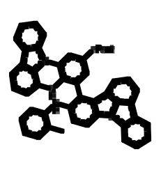 CCCCCc1cc(-c2c(Nc3ccccc3C)ccc3c2c2cccc4c5ccccc5n3c42)c2c(c1)-n1c3ccccc3c3cccc(c31)B2